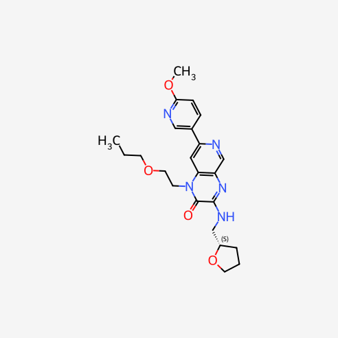 CCCOCCn1c(=O)c(NC[C@@H]2CCCO2)nc2cnc(-c3ccc(OC)nc3)cc21